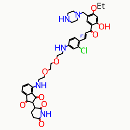 CCOc1cc(O)c(C(=O)/C=C/c2ccc(NCCOCCOCCNc3cccc4c3C(=O)C(C3CCC(=O)NC3=O)C4=O)cc2Cl)cc1CN1CCNCC1